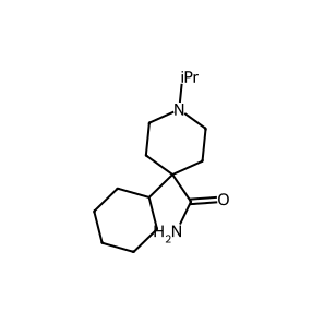 CC(C)N1CCC(C(N)=O)(C2CCCCC2)CC1